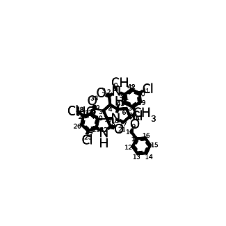 CN(C(=O)C1[C@H]2C[C@](C)(OCc3ccccc3)CN2[C@]2(C(=O)Nc3c(Cl)cc(Cl)cc32)[C@H]1C(=O)O)c1cc(Cl)cc(Cl)c1